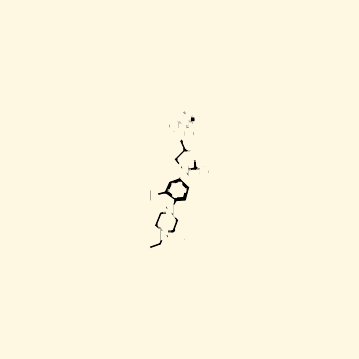 CCN1CCN(c2ccc(N3CC(COS(C)(=O)=O)OC3=O)cc2F)CC1=O